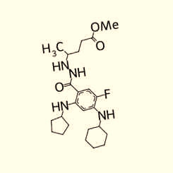 COC(=O)CCC(C)NNC(=O)c1cc(F)c(NC2CCCCC2)cc1NC1CCCC1